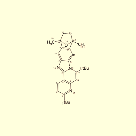 CC(C)(C)c1ccc2c(cc(C(C)(C)C)n3c4cc5c(cc4nc23)C2(C)CCC5(C)O2)n1